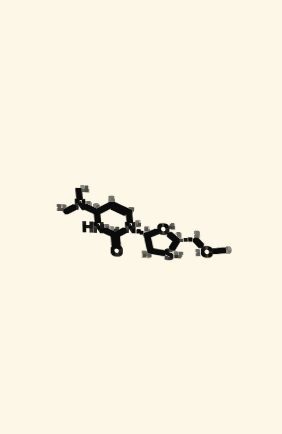 COC[C@H]1O[C@@H](N2C=CC(N(C)C)NC2=O)CS1